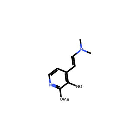 COc1nccc(/C=C/N(C)C)c1N=O